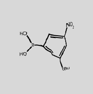 CC(C)(C)c1cc(B(O)O)cc([N+](=O)[O-])c1